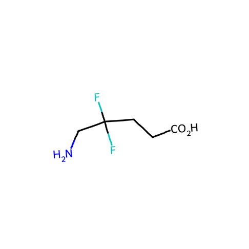 NCC(F)(F)CCC(=O)O